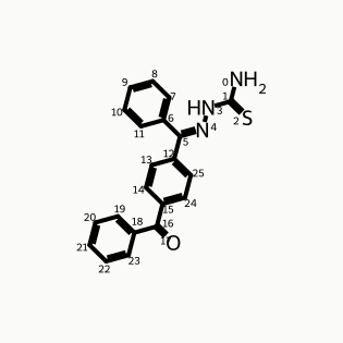 NC(=S)N/N=C(\c1ccccc1)c1ccc(C(=O)c2ccccc2)cc1